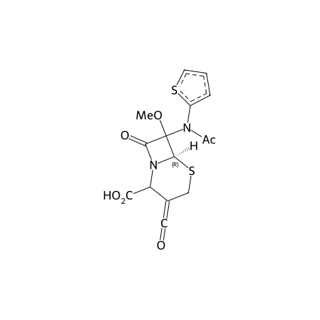 COC1(N(C(C)=O)c2cccs2)C(=O)N2C(C(=O)O)C(=C=O)CS[C@@H]21